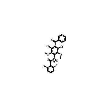 COc1c(Cl)c(C(=O)c2ccccc2)c(Cl)c(OC)c1[PH](=O)C(=O)c1c(Cl)cccc1Cl